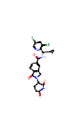 O=C1CCC(N2Cc3cc(C(=O)N[C@H](c4ncc(F)cc4Cl)C4CC4)ccc3C2=O)C(=O)N1